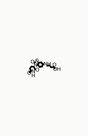 Cn1c(=O)n(C2CCC(=O)NC2=O)c2ccc(NCCCC(=O)O)cc21